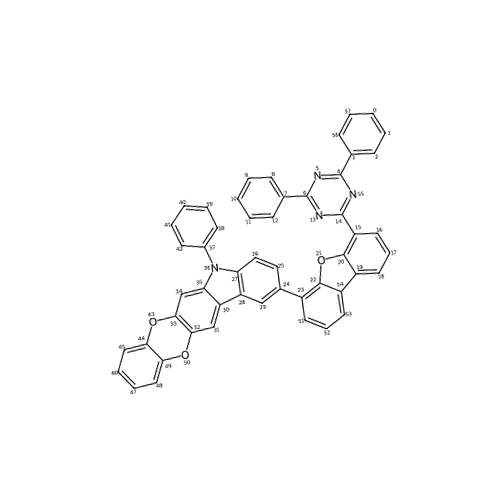 c1ccc(-c2nc(-c3ccccc3)nc(-c3cccc4c3oc3c(-c5ccc6c(c5)c5cc7c(cc5n6-c5ccccc5)Oc5ccccc5O7)cccc34)n2)cc1